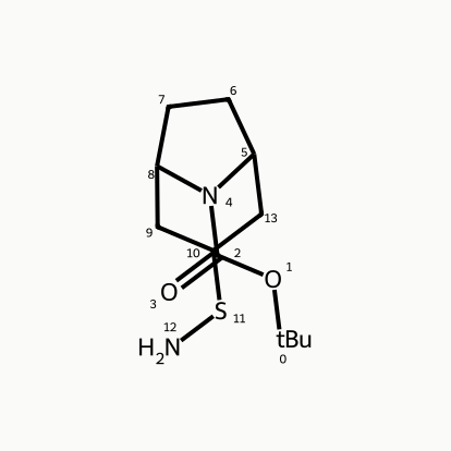 CC(C)(C)OC(=O)N1C2CCC1CC(SN)C2